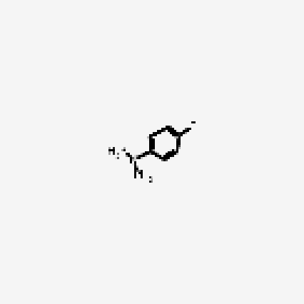 Fc1ccc(N(P)P)cc1